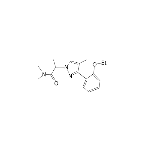 CCOc1ccccc1-c1nn(C(C)C(=O)N(C)C)cc1C